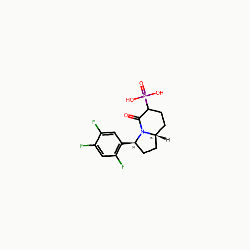 O=C1C(P(=O)(O)O)CC[C@@H]2CC[C@@H](c3cc(F)c(F)cc3F)N12